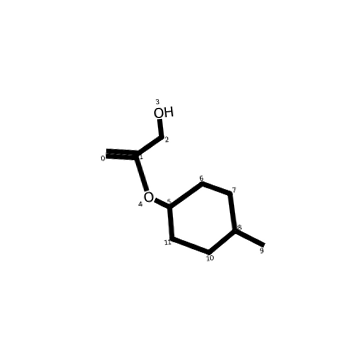 C=C(CO)OC1CCC(C)CC1